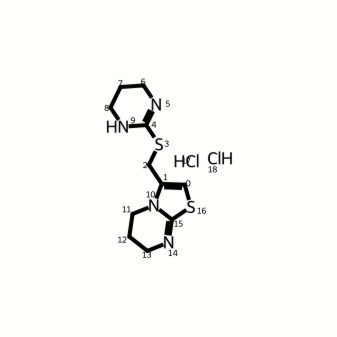 C1=C(CSC2=NCCCN2)N2CCCN=C2S1.Cl.Cl